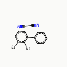 CCc1cccc(-c2ccccc2)c1CC.N#CC#N